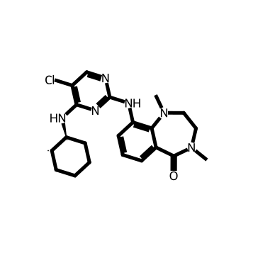 CN1CCN(C)c2c(Nc3ncc(Cl)c(N[C@@H]4[CH]CCCC4)n3)cccc2C1=O